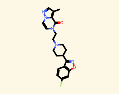 Cc1cnn2ccn(CCN3CCC(c4noc5cc(F)ccc45)CC3)c(=O)c12